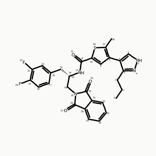 CCCc1n[nH]cc1-c1cc(C(=O)N[C@@H](Cc2ccc(F)c(F)c2)CN2C(=O)c3ccccc3C2=O)sc1C